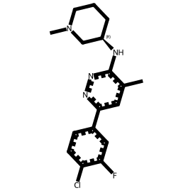 Cc1cc(-c2ccc(Cl)c(F)c2)nnc1N[C@@H]1CCCN(C)C1